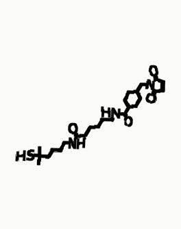 CC(C)(S)CCCCNC(=O)CCCCCNC(=O)C1CCC(CN2C(=O)C=CC2=O)CC1